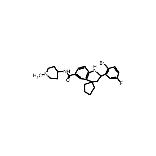 CN1CCC(NC(=O)c2ccc3c(c2)C2(CCCC2)CC(c2cc(F)ccc2Br)N3)CC1